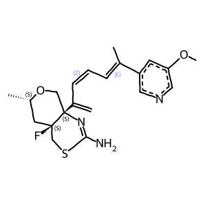 C=C(/C=C\C=C(/C)c1cncc(OC)c1)[C@]12CO[C@@H](C)C[C@@]1(F)CSC(N)=N2